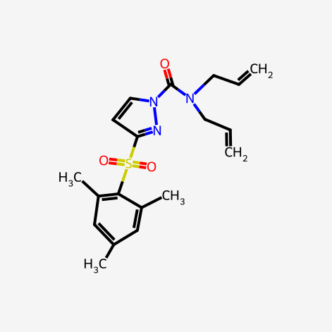 C=CCN(CC=C)C(=O)n1ccc(S(=O)(=O)c2c(C)cc(C)cc2C)n1